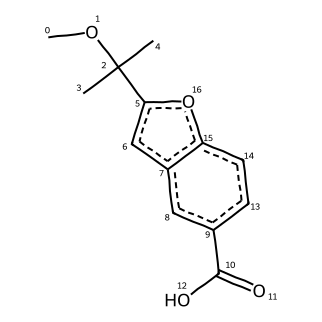 COC(C)(C)c1cc2cc(C(=O)O)ccc2o1